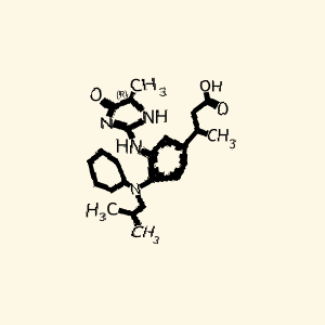 CC(C)CN(c1ccc(C(C)CC(=O)O)cc1NC1=NC(=O)[C@@H](C)N1)C1CCCCC1